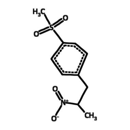 CC(Cc1ccc(S(C)(=O)=O)cc1)[N+](=O)[O-]